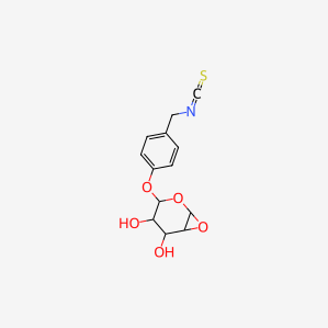 OC1C(Oc2ccc(CN=C=S)cc2)OC2OC2C1O